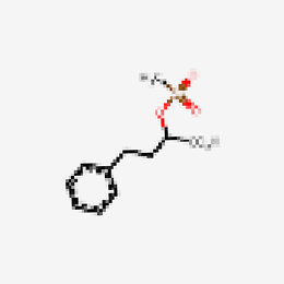 CS(=O)(=O)OC(CCc1ccccc1)C(=O)O